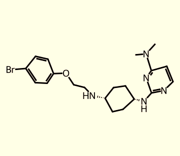 CN(C)c1ccnc(N[C@H]2CC[C@@H](NCCOc3ccc(Br)cc3)CC2)n1